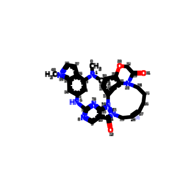 CN(C)c1cc(Nc2ncc3c(=O)n4n(c3n2)-c2ccc3c(c2)N(CCC/C=C\C4)C(=O)CO3)cc2c1ccn2C